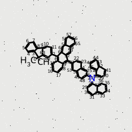 CC1(C)c2ccccc2-c2ccc(-c3c4ccccc4c(-c4ccc5cc(N(c6cccc7ccccc67)c6cccc7ccccc67)ccc5c4)c4cc5ccccc5cc34)cc21